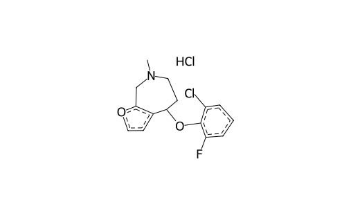 CN1CCC(Oc2c(F)cccc2Cl)c2ccoc2C1.Cl